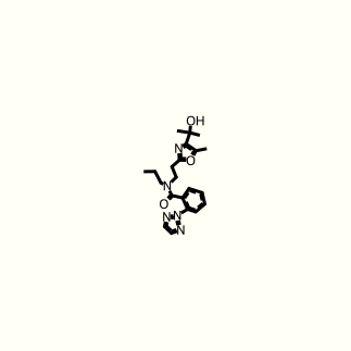 CCCN(CCc1nc(C(C)(C)O)c(C)o1)C(=O)c1ccccc1-n1nccn1